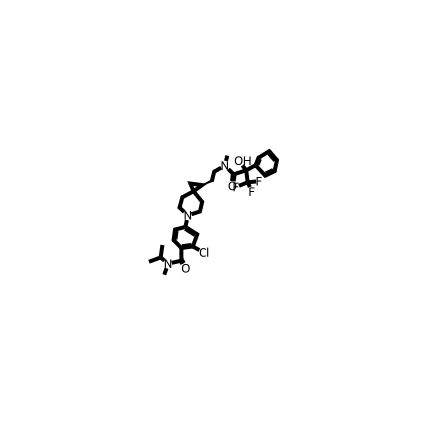 CC(C)N(C)C(=O)c1ccc(N2CCC3(CC2)C[C@H]3CCN(C)C(=O)C(O)(c2ccccc2)C(F)(F)F)cc1Cl